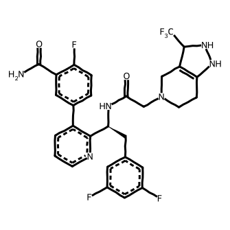 NC(=O)c1cc(-c2cccnc2[C@H](Cc2cc(F)cc(F)c2)NC(=O)CN2CCC3=C(C2)C(C(F)(F)F)NN3)ccc1F